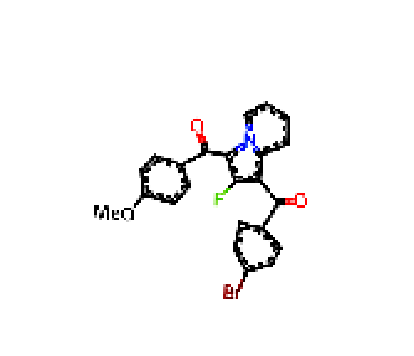 COc1ccc(C(=O)c2c(F)c(C(=O)c3ccc(Br)cc3)c3ccccn23)cc1